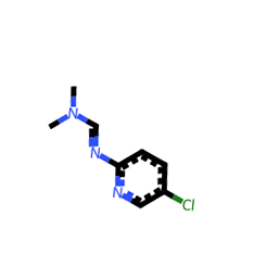 CN(C)C=Nc1ccc(Cl)cn1